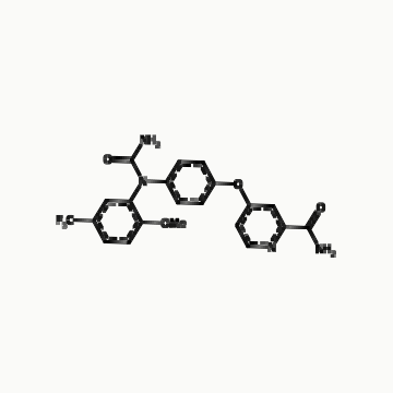 COc1ccc(C(F)(F)F)cc1N(C(N)=O)c1ccc(Oc2ccnc(C(N)=O)c2)cc1